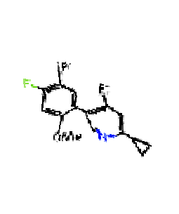 CCc1cc(C2CC2)ncc1-c1cc(C(C)C)c(F)cc1OC